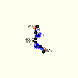 COc1ccccc1C(=O)NCc1ccc(-c2nn([C@H]3C=C[C@H](C(C(=O)O)C(C(=O)O)[C@H]4C=C[C@H](n5nc(-c6ccc(CNC(=O)c7ccccc7OC)cc6)c6c(N)ncnc65)C4)C3)c3ncnc(N)c23)cc1